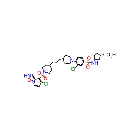 O=C(O)C1CCC(NS(=O)(=O)c2ccc(N3CCC(CCCC4CCN(S(=O)(=O)C5=C(Cl)C=CN6ONC=C56)CC4)CC3)c(Cl)c2)C1